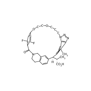 Cc1c2ccc3c1nnn3CCCOCCOc1cc(F)c(c(F)c1)C(=O)N1CCc3ccc(cc3C1)[C@@H]2[C@H](C)C(=O)O